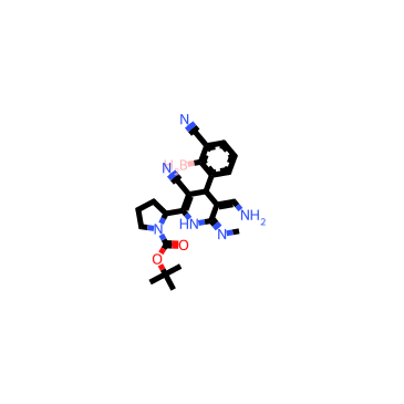 Bc1c(C#N)cccc1C1C(C#N)=C(C2CCCN2C(=O)OC(C)(C)C)NC(=N/C)/C1=C\N